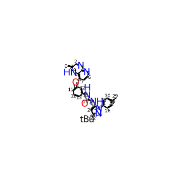 C=C1C=Nc2nccc(Oc3cccc(NC(=O)Nc4cc(C(C)(C)C)nn4-c4ccc(C)cc4)c3)c2N1